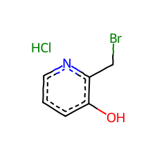 Cl.Oc1cccnc1CBr